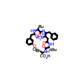 CCC(C)C(NC(=O)Cc1cccc(OC(F)(F)F)c1)C(=O)NC(Cc1ccccc1)C(N)CC(=O)N[C@H](C(=O)N[C@H](C(=O)O)C(C)C)[C@@H](C)CC